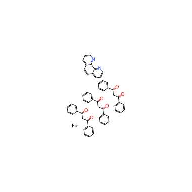 O=C(CC(=O)c1ccccc1)c1ccccc1.O=C(CC(=O)c1ccccc1)c1ccccc1.O=C(CC(=O)c1ccccc1)c1ccccc1.[Eu].c1cnc2c(c1)ccc1cccnc12